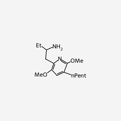 CCCCCc1cc(OC)c(CC(N)CC)nc1OC